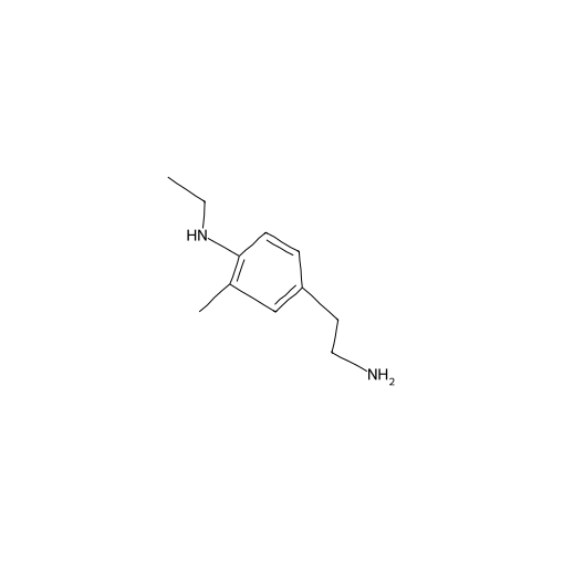 CCNc1ccc(CCN)cc1C